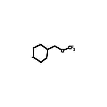 FC(F)(F)OCC1CC[CH]CC1